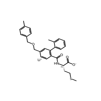 CSCC[C@H](NC(=O)c1ccc(COCc2ccc(C)cc2)cc1-c1ccccc1C)C(=O)[O-].[Li+]